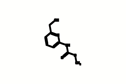 COC(=O)Nc1cccc(CO)n1